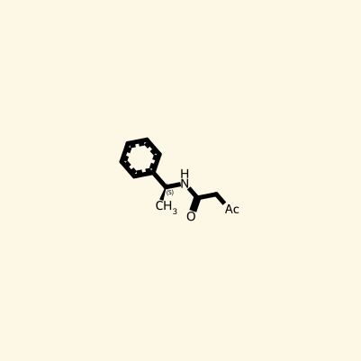 CC(=O)CC(=O)N[C@@H](C)c1ccccc1